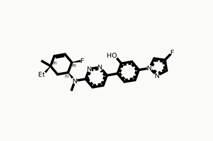 CC[C@@]1(C)C=C[C@@H](F)[C@@H](N(C)c2ccc(-c3ccc(-n4cc(F)cn4)cc3O)nn2)C1